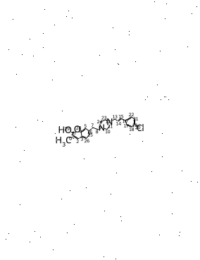 CC(=Cc1ccc(CCN2CCN(CC=Cc3ccc(Cl)cc3)CC2)cc1)C(=O)O